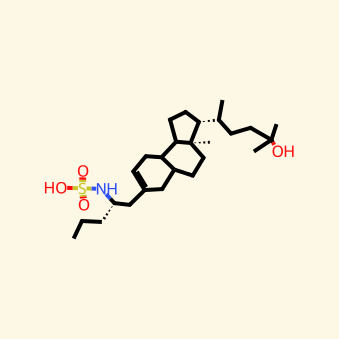 CCC[C@@H](CC1=CCC2C(CC[C@@]3(C)C2CC[C@@H]3C(C)CCC(C)(C)O)C1)NS(=O)(=O)O